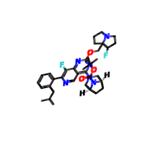 CC(C)Cc1ccccc1-c1ncc2c(N3C[C@H]4CC[C@@H](C3)N4C(=O)OC(C)(C)C)nc(OCC34CCCN3CCC4F)nc2c1F